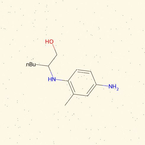 CCCCC(CO)Nc1ccc(N)cc1C